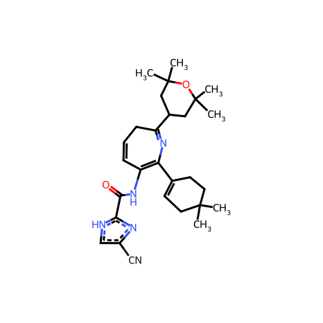 CC1(C)CC=C(C2=C(NC(=O)c3nc(C#N)c[nH]3)C=CCC(C3CC(C)(C)OC(C)(C)C3)=N2)CC1